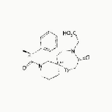 C[C@H](C(=O)N1CCC[C@@]2(CCN(CC(=O)O)C(=O)CO2)C1)c1ccccc1